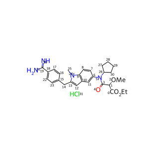 CCOC(=O)C(OC)C(=O)N(c1ccc2c(c1)cc(Cc1ccc(C(=N)N)cc1)n2C)C1CCCC1.Cl